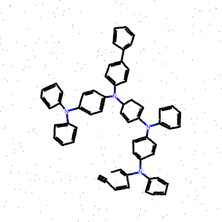 C#C/C=C\C(=C/C)N(c1ccccc1)c1ccc(N(C2=CCC(N(c3ccc(-c4ccccc4)cc3)c3ccc(N(c4ccccc4)c4ccccc4)cc3)C=C2)c2ccccc2)cc1